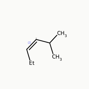 CC/C=[C]\C(C)C